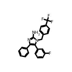 Nc1nc(-c2ccccc2)c(-c2cccc(F)c2)n1Cc1ccc(C(F)(F)F)cc1